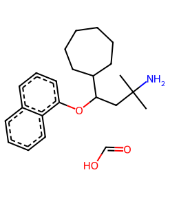 CC(C)(N)CC(Oc1cccc2ccccc12)C1CCCCCC1.O=CO